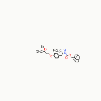 CCOC(C=O)CCOc1ccc(C[C@H](NC(=O)OCC23CC4CC(CC(C4)C2)C3)C(=O)O)cc1